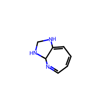 C1=CC=C2NCNC2N=C1